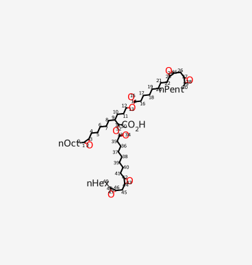 CCCCCCCCC1OC1CCCCCC(CCCOC(=O)CCCCCCCC1OC1CC1OC1CCCCC)C(OC(=O)CCCCCCCC1OC1CC1OC1CCCCCC)C(=O)O